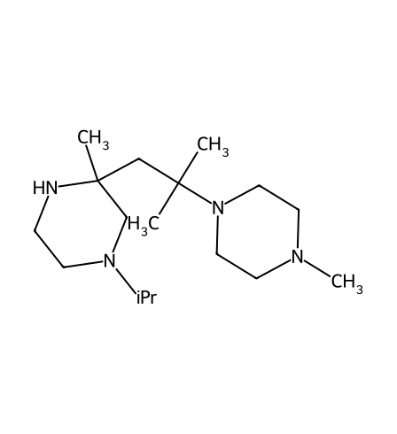 CC(C)N1CCNC(C)(CC(C)(C)N2CCN(C)CC2)C1